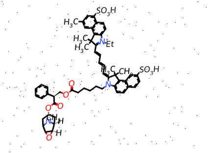 CC[N+]1=C(/C=C/C=C/C=C2/N(CCCCCC(=O)OC[C@@H](C(=O)O[C@H]3CC4C5O[C@@H]5[C@H](C3)N4C)c3ccccc3)c3ccc4ccc(S(=O)(=O)O)cc4c3C2(C)C)C(C)(C)c2c1ccc1c(S(=O)(=O)O)cc(C)cc21